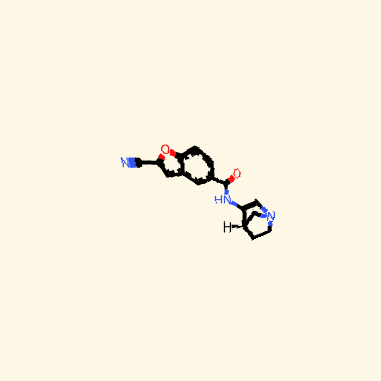 N#Cc1cc2cc(C(=O)NC3CN4CC[C@H]3C4)ccc2o1